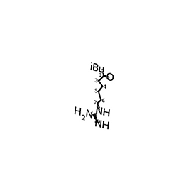 CCC(C)C(=O)CCCCCNC(=N)N